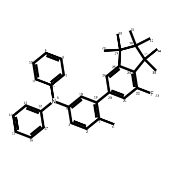 Cc1ccc(N(c2ccccc2)c2ccccc2)cc1-c1cc(F)c2c(c1)C(C)(C)C(C)(C)C2(C)C